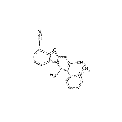 Cc1cc2oc3c(C#N)cccc3c2c(C)c1-c1cccc[n+]1C